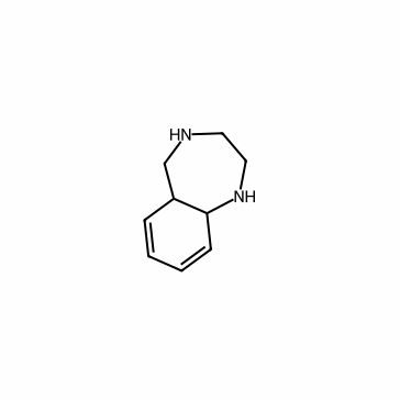 C1=CC2CNCCNC2C=C1